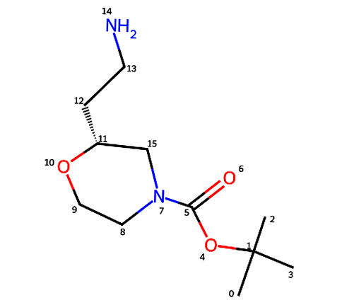 CC(C)(C)OC(=O)N1CCO[C@H](CCN)C1